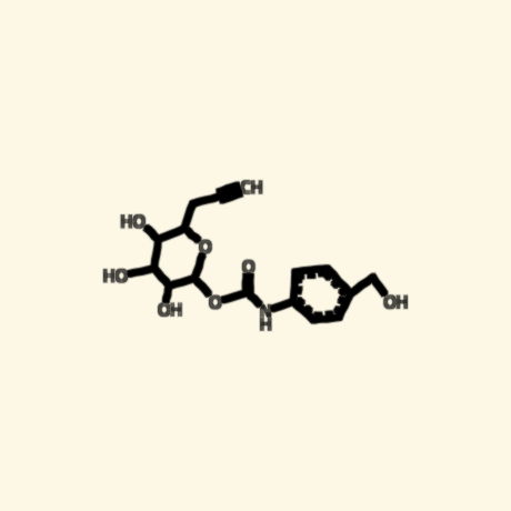 C#CCC1OC(OC(=O)Nc2ccc(CO)cc2)C(O)C(O)C1O